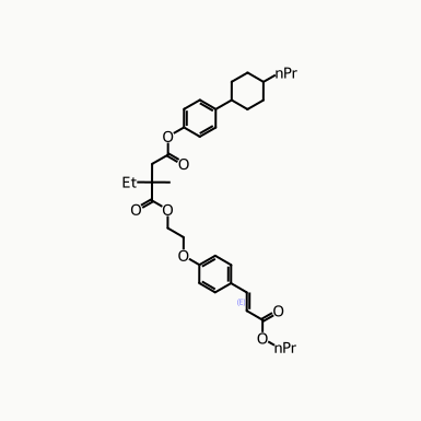 CCCOC(=O)/C=C/c1ccc(OCCOC(=O)C(C)(CC)CC(=O)Oc2ccc(C3CCC(CCC)CC3)cc2)cc1